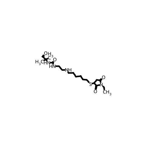 CCN1C(=O)CC(SCCCCCCNCCNC(=O)NC(C)(C)C=O)C1=O